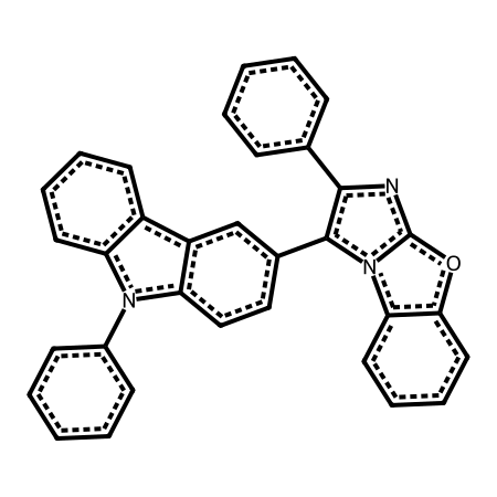 c1ccc(-c2nc3oc4ccccc4n3c2-c2ccc3c(c2)c2ccccc2n3-c2ccccc2)cc1